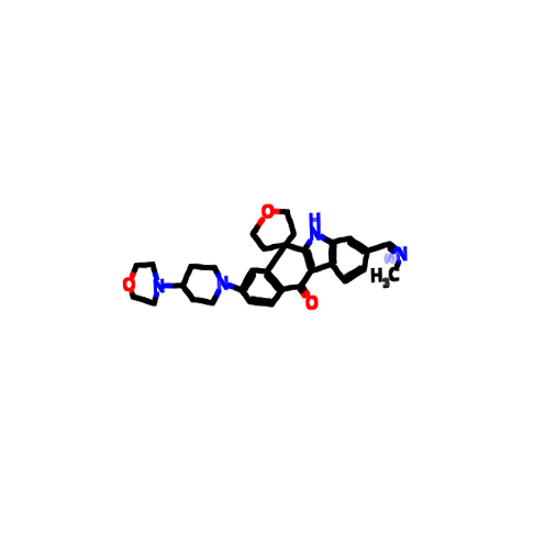 C/N=C\c1ccc2c3c([nH]c2c1)C1(CCOCC1)c1cc(N2CCC(N4CCOCC4)CC2)ccc1C3=O